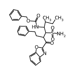 CCC(C)C(NC(=O)OCc1ccccc1)C(C(CCc1ccccc1)C(=O)c1nc2ccccc2o1)S(N)(=O)=O